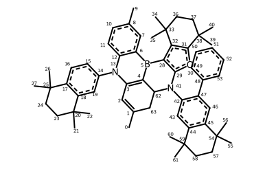 CC1=CC2=C3B(c4cc(C)ccc4N2c2ccc4c(c2)C(C)(C)CCC4(C)C)c2c(oc4c2C(C)(C)CCC4(C)C)N(c2cc4c(cc2-c2ccccc2)C(C)(C)CCC4(C)C)C3C1